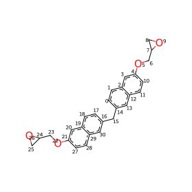 c1cc2cc(OCC3CO3)ccc2cc1Cc1ccc2cc(OCC3CO3)ccc2c1